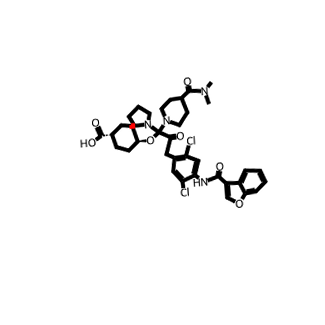 CN(C)C(=O)C1CCN(C(O[C@H]2CC[C@H](C(=O)O)CC2)(C(=O)Cc2cc(Cl)c(NC(=O)c3coc4ccccc34)cc2Cl)N2CCCC2)CC1